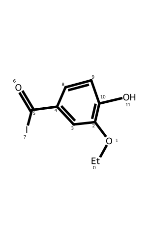 CCOc1cc(C(=O)I)ccc1O